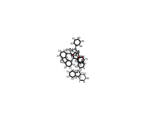 C1=Cc2c(n(-c3ccc4sc5cccc(-c6cccc7oc8cccc(C9=NC(c%10ccccc%10)=NC(c%10ccccc%10)N9)c8c67)c5c4c3)c3ccccc23)CC1